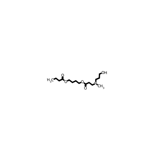 CCCC(=O)OCCCCOC(=O)CCN(C)CCCO